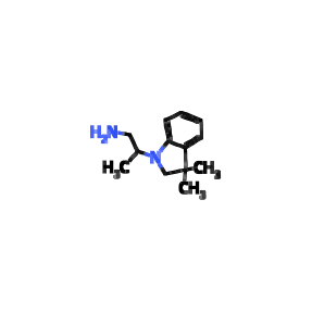 CC(CN)N1CC(C)(C)c2ccccc21